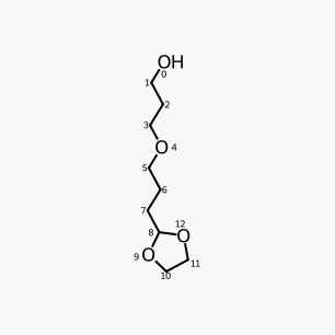 OCCCOCCCC1OCCO1